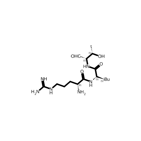 CC[C@H](C)[C@H](NC(=O)[C@H](N)CCCNC(=N)N)C(=O)N[C@H]([C]=O)[C@H](C)O